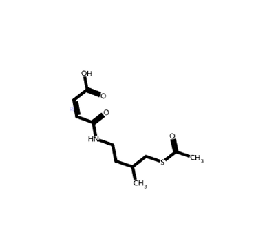 CC(=O)SCC(C)CCNC(=O)/C=C\C(=O)O